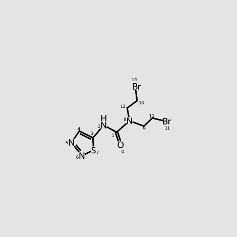 O=C(Nc1cnns1)N(CCBr)CCBr